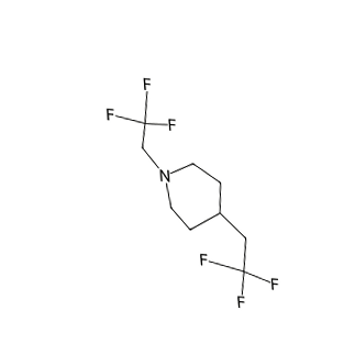 FC(F)(F)CC1CCN(CC(F)(F)F)CC1